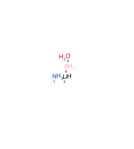 B.N.O.[LiH]